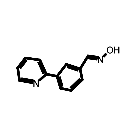 ON=Cc1cccc(-c2ccccn2)c1